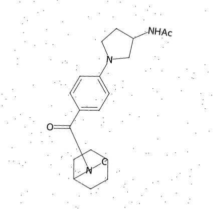 CC(=O)NC1CCN(c2ccc(C(=O)N3CC4CCC(CC4)C3)cc2)C1